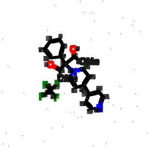 COC(=O)C(C(=O)OC)(c1ccccc1)[n+]1ccc(-c2ccncc2)cc1.F[B-](F)(F)F